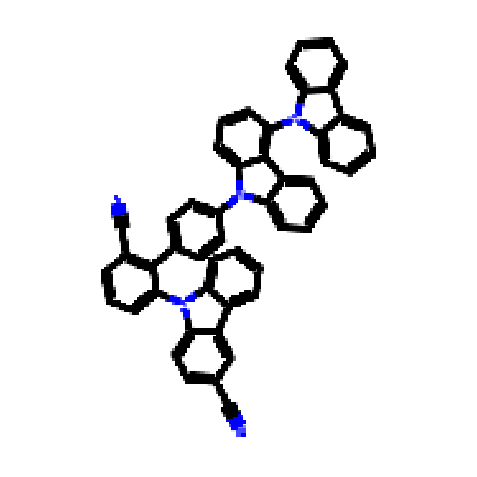 N#Cc1ccc2c(c1)c1ccccc1n2-c1cccc(C#N)c1-c1ccc(-n2c3ccccc3c3c(-n4c5ccccc5c5ccccc54)cccc32)cc1